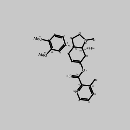 COc1ccc([C@@]23CC=C(OC(=O)c4ncccc4C)C[C@@H]2N(C)CC3)cc1OC